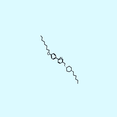 CCCCCCCCOc1ccc(-c2ccc(CC[C@H]3CC[C@H](CCCCCC)CC3)cn2)cc1